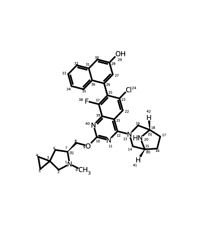 CN1CC2(CC2)C[C@H]1COc1nc(N2C[C@H]3CC[C@@H](C2)N3)c2cc(Cl)c(-c3cc(O)cc4ccccc34)c(F)c2n1